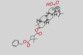 C=C(C)[C@@H]1CC[C@]2(C(=O)O)CC[C@]3(C)[C@H](CC[C@@H]4[C@@]5(C)CC[C@H](OC(=O)C6CC(C(=O)OCc7ccccc7)C6(C)C)C(C)(C)[C@@H]5CC[C@]43C)[C@@H]12